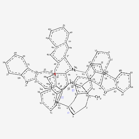 CC1C/C=C(c2ccc(-c3ccccc3)cc2)/N=C(c2ccc3c(c2)oc2ccccc23)\N=C/1c1c(-n2c3cc4ccccc4cc3c3cc4ccccc4cc32)ccc2c1oc1ccccc12